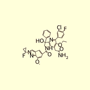 CCOc1c(CC(N)=O)cc(C(O)(CNC(=O)c2cc(OC)c3nn(C4(F)CC4)cc3c2)c2ccccc2)nc1-c1ccc(F)c(Cl)c1